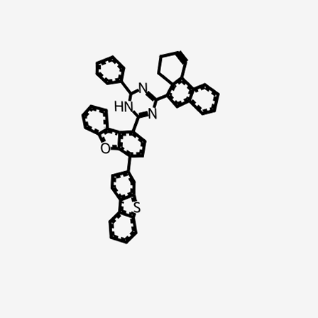 C1#Cc2c(c(C3=NC(c4ccccc4)NC(c4ccc(-c5ccc6c(c5)sc5ccccc56)c5oc6ccccc6c45)=N3)cc3ccccc23)CC1